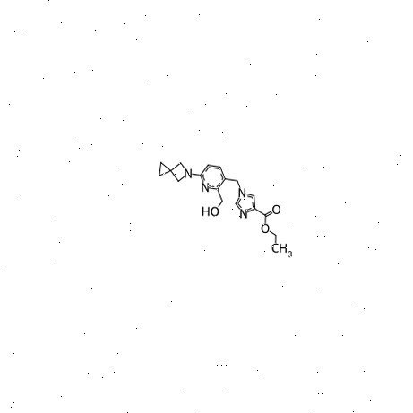 CCOC(=O)c1cn(Cc2ccc(N3CC4(CC4)C3)nc2CO)cn1